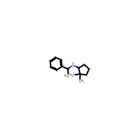 CC(NC1CCCC1(C)C)c1ccccc1